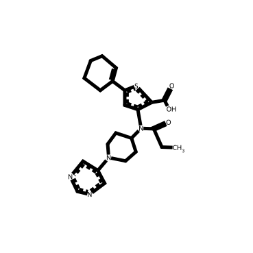 CCC(=O)N(c1cc(C2=CCCCC2)sc1C(=O)O)C1CCN(c2cncnc2)CC1